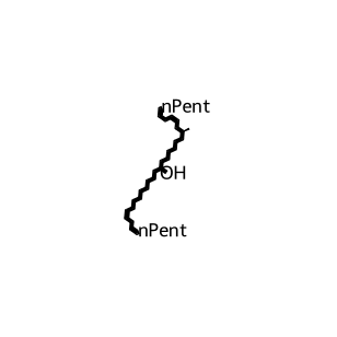 CCCCC/C=C\C/C=C\CCCCCCCCC(O)CCCCCC[C@H](C)C/C=C\C/C=C\CCCCC